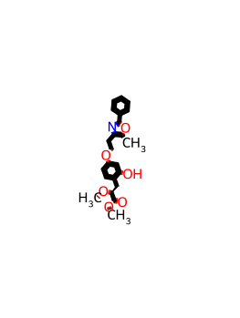 COC(=O)[C@H](Cc1ccc(OCCc2nc(-c3ccccc3)oc2C)cc1O)OC